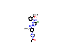 C=CC(=O)N1CCN(c2ccc(Nc3ncc(Cl)c(Nc4ccccc4C(=O)NC)n3)c(OC)c2)CC1